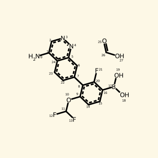 Nc1cnnc2cc(-c3c(OC(F)F)ccc(B(O)O)c3F)ccc12.O=CO